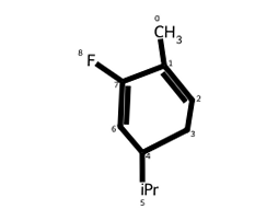 CC1=CCC(C(C)C)C=C1F